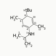 C=C(C)NC1=CC(C)C(C(C)(C)C)C=C1C